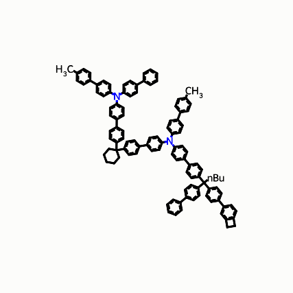 CCCCC(c1ccc(-c2ccccc2)cc1)(c1ccc(-c2ccc(N(c3ccc(-c4ccc(C)cc4)cc3)c3ccc(-c4ccc(C5(c6ccc(-c7ccc(N(c8ccc(-c9ccccc9)cc8)c8ccc(-c9ccc(C)cc9)cc8)cc7)cc6)CCCCC5)cc4)cc3)cc2)cc1)c1ccc(-c2ccc3c(c2)CC3)cc1